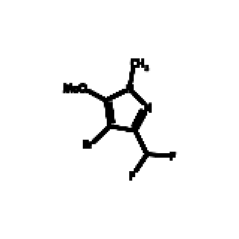 COc1c(Br)c(C(F)F)nn1C